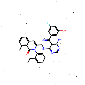 CCC1=CCCC=C1n1c(CNc2ncnc(N)c2C(=N)c2cc(O)cc(F)c2)cc2cccc(C)c2c1=O